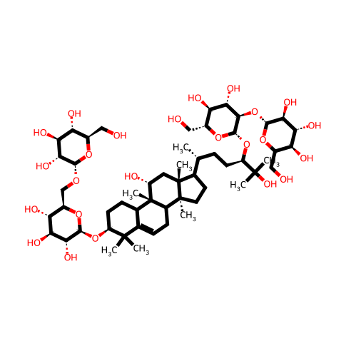 C[C@H](CC[C@@H](O[C@@H]1O[C@H](CO)[C@@H](O)[C@H](O)[C@H]1O[C@H]1OC(CO)[C@H](O)[C@@H](O)[C@@H]1O)C(C)(C)O)C1CC[C@@]2(C)C3CC=C4C(CC[C@H](O[C@@H]5O[C@H](CO[C@H]6O[C@H](CO)[C@@H](O)[C@H](O)[C@H]6O)[C@@H](O)[C@H](O)[C@H]5O)C4(C)C)[C@]3(C)[C@H](O)C[C@]12C